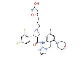 Cc1ccc(Cn2ccnc2NC(=O)C2CN(CCCc3cc(O)no3)C[C@H]2c2ccc(F)cc2F)c(N2CCOCC2)c1